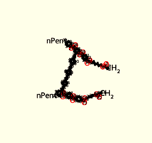 C=CC(=O)OCCCCCCOC(=O)C1CCC(C(=O)Oc2ccc(C(=O)OC3CCC(CCCCC)CC3)cc2C#Cc2ccc(C#Cc3ccc(C#Cc4ccc(C#CC5(OC(=O)c6ccc(OC(=O)C7CCC(C(=O)OCCCCCOC(=O)C=C)CC7)cc6)CCC(CCCCC)CC5)cc4)cc3)cc2)CC1